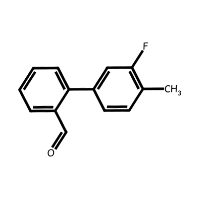 Cc1ccc(-c2ccccc2C=O)cc1F